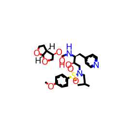 COc1ccc(S(=O)(=O)N(CC(C)C)C[C@@H](O)[C@H](Cc2ccncc2)NC(=O)O[C@H]2CO[C@H]3OCC[C@H]32)cc1